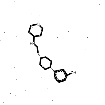 Oc1cccc([C@H]2CC[C@@H](CCNC3CCOCC3)CC2)c1